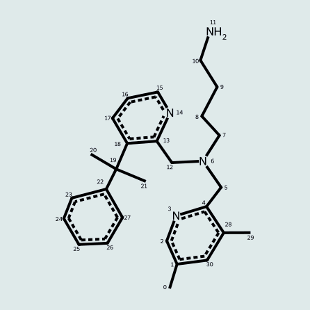 Cc1cnc(CN(CCCCN)Cc2ncccc2C(C)(C)c2ccccc2)c(C)c1